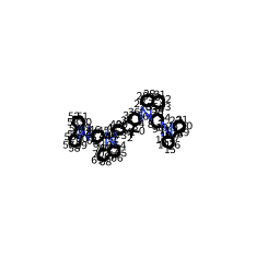 CC1(C)c2cc(N(c3ccc(-n4c5ccccc5c5ccccc54)cc3)c3cccc4ccccc34)ccc2-c2ccc(N(c3ccc(-n4c5ccccc5c5ccccc54)cc3)c3cccc4ccccc34)cc21